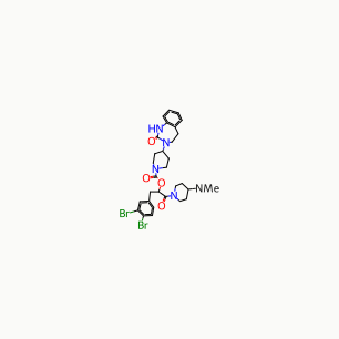 CNC1CCN(C(=O)C(Cc2ccc(Br)c(Br)c2)OC(=O)N2CCC(N3CCc4ccccc4NC3=O)CC2)CC1